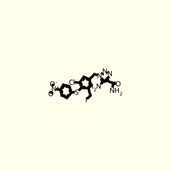 NC(=O)c1nnn(Cc2cc(Cl)c(Sc3ccc([N+](=O)[O-])cc3)c(CI)c2)c1N